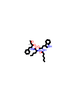 CCCCCC(=O)NC(Cc1c[nH]c2ccccc12)C(=O)NC(CCCC)C(=O)NC(Cc1ccccc1)C(=O)[C@@]1(C)CO1